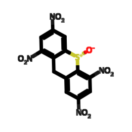 O=[N+]([O-])c1cc2c(c([N+](=O)[O-])c1)[S+]([O-])c1cc([N+](=O)[O-])cc([N+](=O)[O-])c1C2